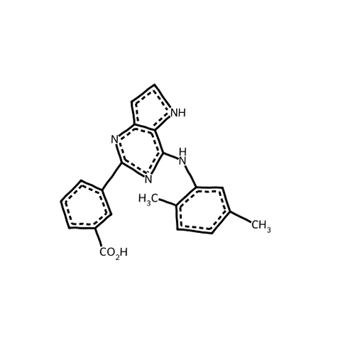 Cc1ccc(C)c(Nc2nc(-c3cccc(C(=O)O)c3)nc3cc[nH]c23)c1